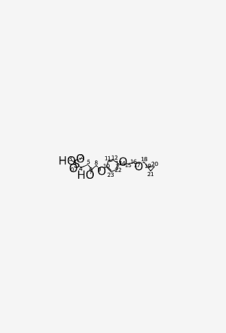 O=S(=O)(O)CC[C@H](O)COc1ccc(OCCOCC2CC2)cc1